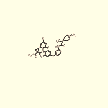 CN1CCC(N(C)C(=O)Nc2cc(Oc3ccc(N(C(=O)C4(C(N)=O)CC4)c4ccc(F)cc4F)c(F)c3)ccn2)CC1